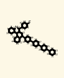 Fc1ccc(-c2nc3ccccc3c3c2cc(-c2ccc(-c4ccc(-c5ccc(-c6ccccc6)cc5)cc4)cc2)c2ccccc23)cc1